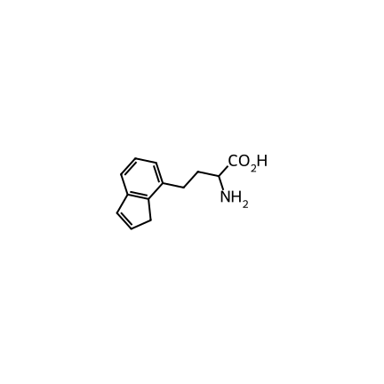 NC(CCc1cccc2c1CC=C2)C(=O)O